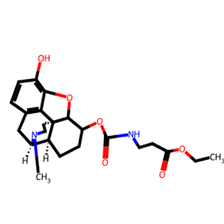 CCOC(=O)CCNC(=O)OC1CC[C@H]2[C@H]3Cc4ccc(O)c5c4[C@@]2(CCN3C)C1O5